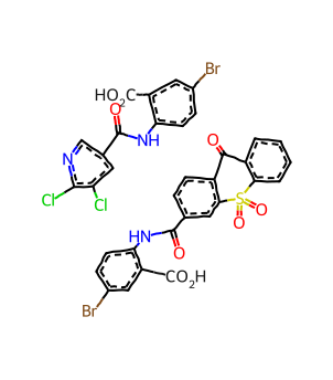 O=C(Nc1ccc(Br)cc1C(=O)O)c1ccc2c(c1)S(=O)(=O)c1ccccc1C2=O.O=C(Nc1ccc(Br)cc1C(=O)O)c1cnc(Cl)c(Cl)c1